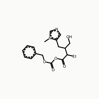 CCC(C(=O)OC(=O)OCc1ccccc1)C(CO)Cc1cncn1C